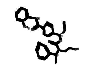 CC[C@H](OC(=O)N(CCO)[C@@H](C)c1cccnc1)c1ccc(C(=O)Nc2ccccc2N)cc1